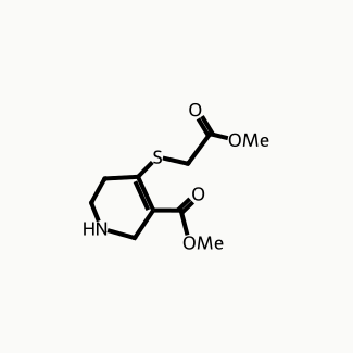 COC(=O)CSC1=C(C(=O)OC)CNCC1